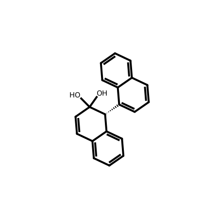 OC1(O)C=Cc2ccccc2[C@H]1c1cccc2ccccc12